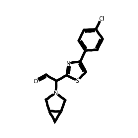 O=CC(c1nc(-c2ccc(Cl)cc2)cs1)N1CC2CC2C1